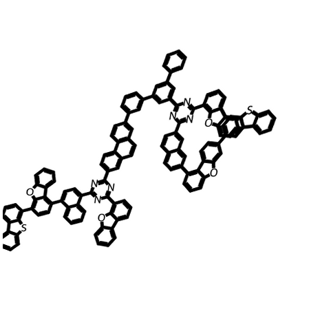 c1ccc(-c2cc(-c3cccc(-c4ccc5c(ccc6cc(-c7nc(-c8ccc(-c9ccc(-c%10cccc%11c%10sc%10ccccc%10%11)c%10oc%11ccccc%11c9%10)c9ccccc89)nc(-c8cccc9c8oc8ccccc89)n7)ccc65)c4)c3)cc(-c3nc(-c4ccc5ccc(-c6cccc7oc8cc(-c9ccc%10sc%11ccccc%11c%10c9)ccc8c67)cc5c4)nc(-c4cccc5c4oc4ccccc45)n3)c2)cc1